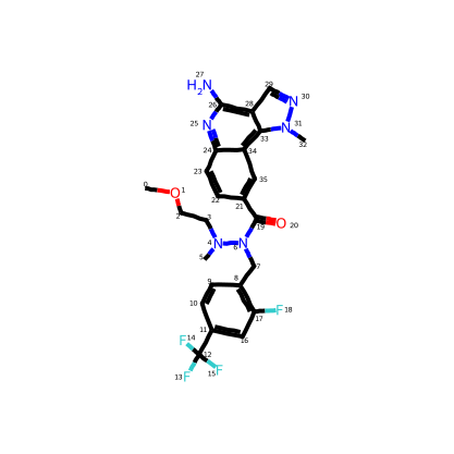 COCCN(C)N(Cc1ccc(C(F)(F)F)cc1F)C(=O)c1ccc2nc(N)c3cnn(C)c3c2c1